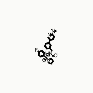 CN(C)c1ccc(-c2cccc(CNC(=O)[C@@H]3CCCN3S(=O)(=O)c3ccc(F)cc3)c2)cn1